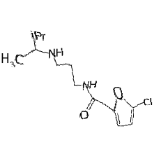 CC(C)C(C)NCCCNC(=O)c1ccc(Cl)o1